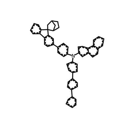 c1ccc(-c2ccc(-c3ccc(N(c4ccc(-c5ccc6c(c5)C5(CC7CCC5C7)c5ccccc5-6)cc4)c4ccc5c(ccc6ccccc65)c4)cc3)cc2)cc1